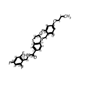 CCCOc1cc(F)c(CN2C(=O)CSc3cc(C(=O)NCc4c(F)cc(F)cc4F)ccc32)c(F)c1